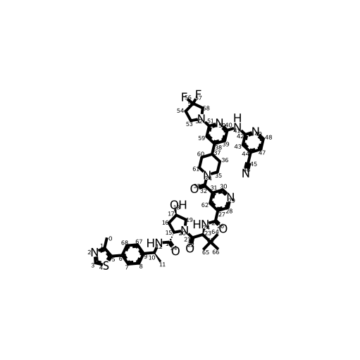 Cc1ncsc1-c1ccc([C@H](C)NC(=O)[C@@H]2C[C@@H](O)CN2C(=O)[C@@H](NC(=O)c2cncc(C(=O)N3CCC(c4cc(Nc5cc(C#N)ccn5)nc(N5CCC(F)(F)C5)c4)CC3)c2)C(C)(C)C)cc1